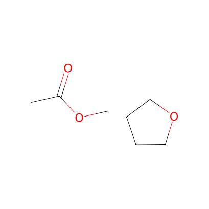 C1CCOC1.COC(C)=O